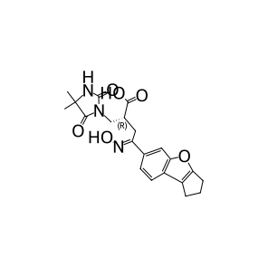 CC1(C)NC(=O)N(C[C@@H](CC(=NO)c2ccc3c4c(oc3c2)CCC4)C(=O)O)C1=O